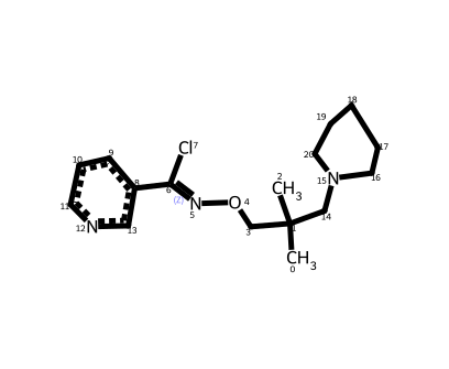 CC(C)(CO/N=C(\Cl)c1cccnc1)CN1CCCCC1